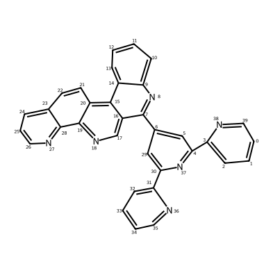 c1ccc(-c2cc(-c3nc4ccccc4c4c3cnc3c4ccc4cccnc43)cc(-c3ccccn3)n2)nc1